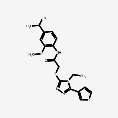 CCn1c(SCC(=O)Nc2ccc(C(C)C)cc2OC)nnc1-c1ccsc1